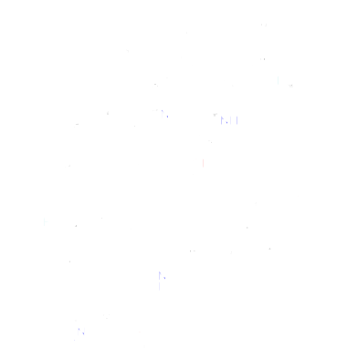 Cc1c(-c2c(F)cc(C(N)=O)c3[nH]c4cc(C(C)(C)O)ccc4c23)cccc1N1C(=O)c2cccc(F)c2NC1O